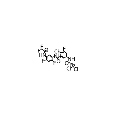 O=C(Nc1cc(NC(=O)C(F)F)c(F)cc1F)c1cc(NC(=O)[C@H]2CC2(Cl)Cl)cc(F)c1Cl